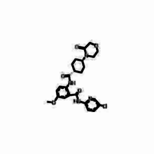 COc1ccc(NC(=O)[C@H]2CC[C@H](N3CCOCC3=O)CC2)c(C(=O)Nc2ccc(Cl)cn2)c1